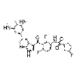 CNc1cc(-c2cnc3[nH]cc(C(=O)c4c(F)ccc(NS(=O)(=O)N5CC[C@@H](F)C5)c4F)c3c2)cc(NC)c1C